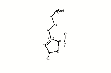 CC(=O)[O-].CCCCCCCCCCC[N+]1=CC(CC)CC1